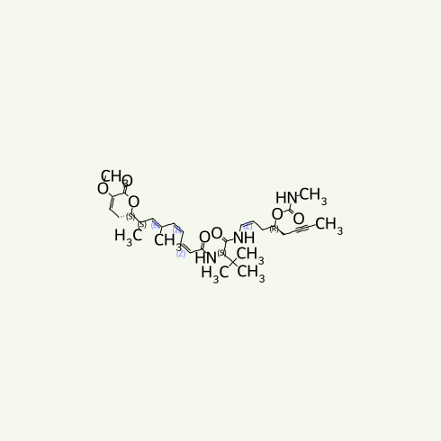 CC#CC[C@@H](C/C=C\NC(=O)[C@@H](NC(=O)\C=C/C=C\C(C)=C\[C@H](C)[C@@H]1CC=C(OC)C(=O)O1)C(C)(C)C)OC(=O)NC